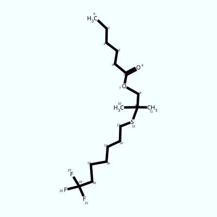 CCCCCC(=O)OCC(C)(C)SCCCCCCC(F)(F)F